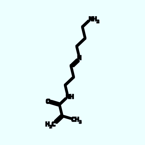 C=C(C)C(=O)NCCC=NCCCN